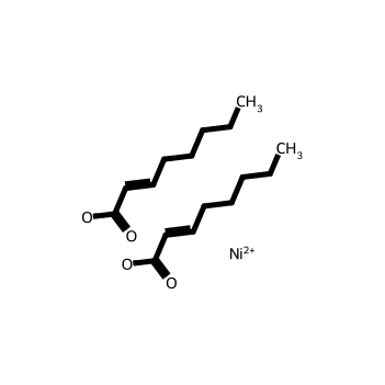 CCCCCC=CC(=O)[O-].CCCCCC=CC(=O)[O-].[Ni+2]